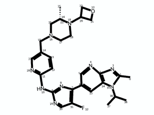 Cc1nc2ncc(-c3nc(Nc4ccc(CN5CCN(C6COC6)[C@@H](C)C5)cn4)ncc3F)cc2n1C(C)C